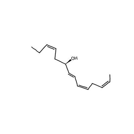 C/C=C\C/C=C\C=C\[C@H](O)C/C=C\CC